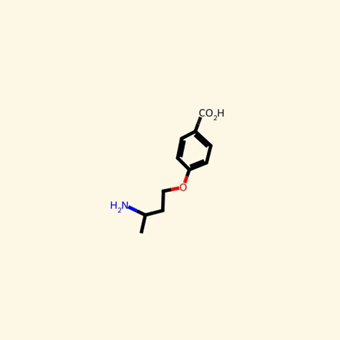 CC(N)CCOc1ccc(C(=O)O)cc1